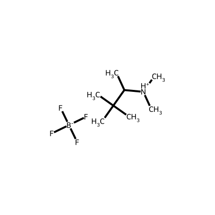 CC([NH+](C)C)C(C)(C)C.F[B-](F)(F)F